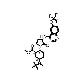 COC(=O)[C@@H]1C[C@H](N(C)C(C)(C)C)CC[C@@H]1N1CC[C@H](Nc2ncnc3ccc(OC(F)(F)F)cc23)C1=O